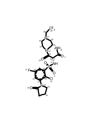 NC(=O)[C@H](NS(=O)(=O)c1cc(F)cc(N2CCCC2=O)c1Cl)C(=O)N1CCN(CC(F)(F)F)CC1